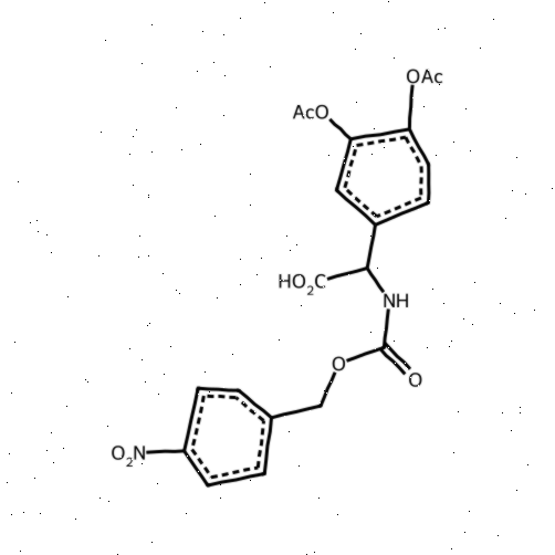 CC(=O)Oc1ccc(C(NC(=O)OCc2ccc([N+](=O)[O-])cc2)C(=O)O)cc1OC(C)=O